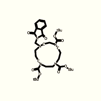 CC(C)(C)OC(=O)N1CCCN(C(=O)OC(C)(C)C)CCN(C(=O)OC(C)(C)C)CCCN(CN2C(=O)c3ccccc3C2=O)CC1